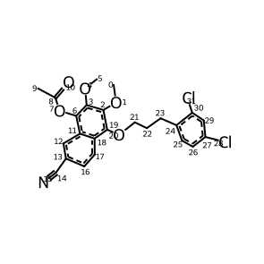 COc1c(OC)c(OC(C)=O)c2cc(C#N)ccc2c1OCCCc1ccc(Cl)cc1Cl